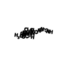 CN(c1ccccc1Nc1nc(Nc2ccc(N3CCN(CC4CCNCC4)CC3)cc2Cl)ncc1Cl)S(C)(=O)=O